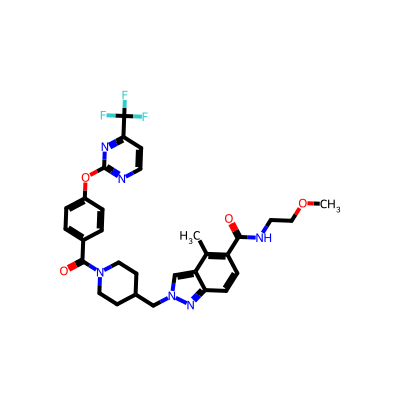 COCCNC(=O)c1ccc2nn(CC3CCN(C(=O)c4ccc(Oc5nccc(C(F)(F)F)n5)cc4)CC3)cc2c1C